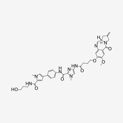 C=C1C[C@H]2C=Nc3cc(OCCCC(=O)Nc4cn(C)c(C(=O)Nc5ccc(-c6cc(C(=O)NCCCO)n(C)c6)cc5)n4)c(OC)cc3C(=O)N2C1